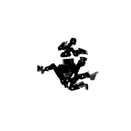 C=CC(=O)NC(CC)[N+](C)(C)C.CCOS(=O)(=O)[O-]